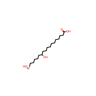 CCCCCCC(O)CCCCCCCCCCC(=O)O.[Li+].[OH-]